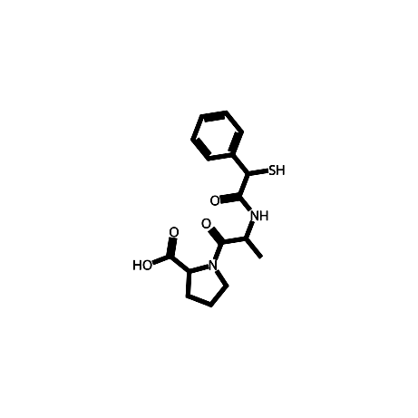 CC(NC(=O)C(S)c1ccccc1)C(=O)N1CCCC1C(=O)O